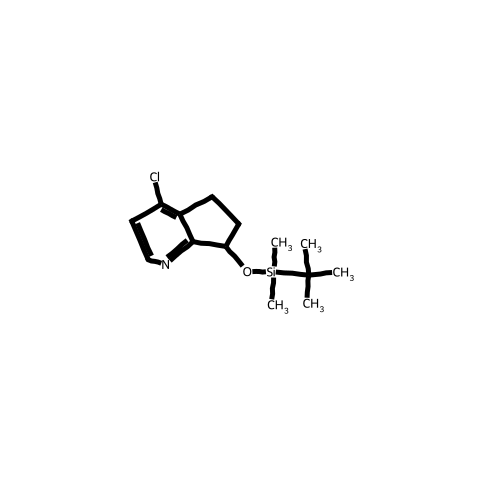 CC(C)(C)[Si](C)(C)OC1CCc2c(Cl)ccnc21